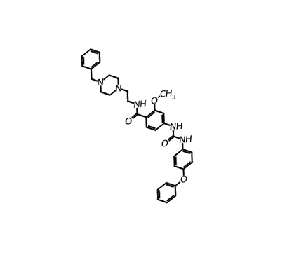 COc1cc(NC(=O)Nc2ccc(Oc3ccccc3)cc2)ccc1C(=O)NCCN1CCN(Cc2ccccc2)CC1